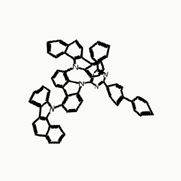 c1ccc(-c2ccc(-c3nc(-c4ccccc4)nc(-n4c5cccc(-n6c7ccccc7c7ccc8ccccc8c76)c5c5cccc(-n6c7ccccc7c7ccc8ccccc8c76)c54)n3)cc2)cc1